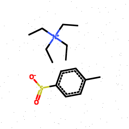 CC[N+](CC)(CC)CC.Cc1ccc(S(=O)[O-])cc1